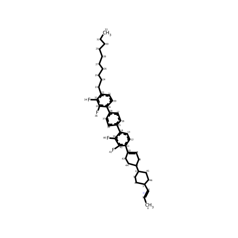 C/C=C/C1CCC(C2CC=C(c3ccc(-c4ccc(-c5ccc(CCCCCCCCCC)c(F)c5F)cc4)c(F)c3F)CC2)CC1